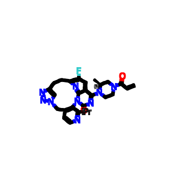 C=CC(=O)N1CCN(c2nc(=O)n3c4nc(c(F)cc24)CCc2cn(nn2)Cc2ccnc(C(C)C)c2-3)[C@@H](C)C1